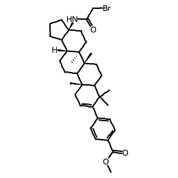 COC(=O)c1ccc(C2=CC[C@@]3(C)C(CC[C@]4(C)C3CC[C@@H]3C5CCC[C@]5(NC(=O)CBr)CC[C@]34C)C2(C)C)cc1